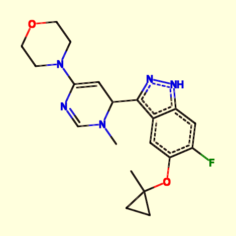 CN1C=NC(N2CCOCC2)=CC1c1n[nH]c2cc(F)c(OC3(C)CC3)cc12